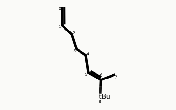 C=CCCCC=C(C)C(C)(C)C